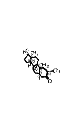 C[C@@H]1C[C@@]2(C)[C@@H](CC[C@H]3[C@@H]4CC[C@H](O)[C@@]4(C)CC[C@@]32O)CC1=O